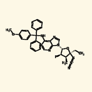 CC[C@@]1(N=[N+]=[N-])O[C@@H](n2cnc3c(NC(c4ccccc4)(c4ccccc4)c4ccc(OC)cc4)ncnc32)[C@H](F)[C@@H]1C